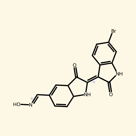 O=C1Nc2cc(Br)ccc2/C1=C1/NC2C=CC(/C=N/O)=CC2C1=O